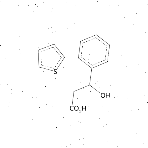 O=C(O)CC(O)c1ccccc1.c1ccsc1